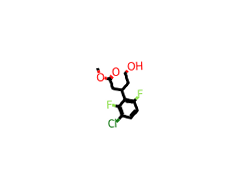 COC(=O)CC(CCO)c1c(F)ccc(Cl)c1F